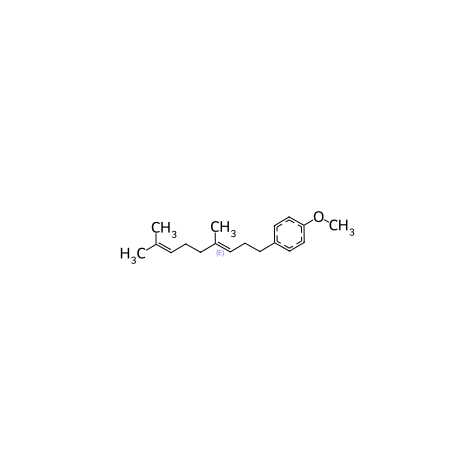 COc1ccc(CC/C=C(\C)CCC=C(C)C)cc1